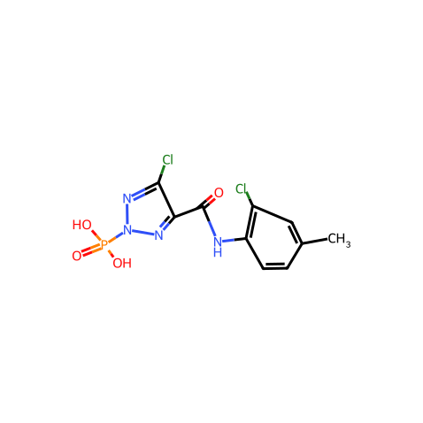 Cc1ccc(NC(=O)c2nn(P(=O)(O)O)nc2Cl)c(Cl)c1